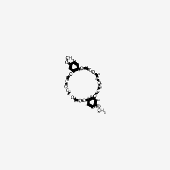 COc1ccc2c(c1)OCCOCCOCCOc1ccc(OC)cc1OCCOCCOCCO2